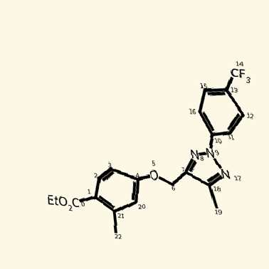 CCOC(=O)c1ccc(OCc2nn(-c3ccc(C(F)(F)F)cc3)nc2C)cc1C